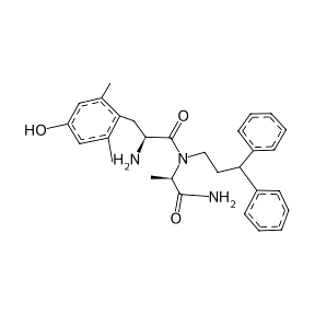 Cc1cc(O)cc(C)c1C[C@H](N)C(=O)N(CCC(c1ccccc1)c1ccccc1)[C@H](C)C(N)=O